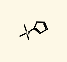 [CH3][La]([CH3])([CH3])[C]1=CC=CC1